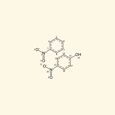 O=[N+]([O-])c1cc[c]cc1.O=[N+]([O-])c1ccc(O)cc1